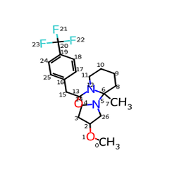 COC1CCN(C2(C)CCCCN2C(=O)Cc2ccc(C(F)(F)F)cc2)C1